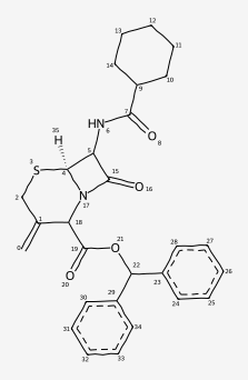 C=C1CS[C@H]2C(NC(=O)C3CCCCC3)C(=O)N2C1C(=O)OC(c1ccccc1)c1ccccc1